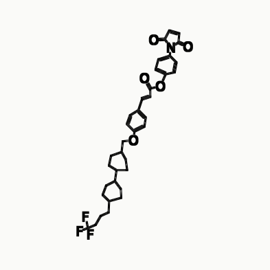 O=C(/C=C/c1ccc(OCC2CCC(C3CCC(CCCC(F)(F)F)CC3)CC2)cc1)Oc1ccc(N2C(=O)C=CC2=O)cc1